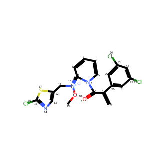 C=C(C(=O)n1cccc/c1=[N+](\Cc1cnc(Cl)s1)OC)c1cc(Cl)cc(Cl)c1